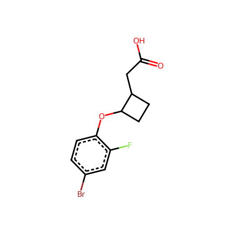 O=C(O)CC1CCC1Oc1ccc(Br)cc1F